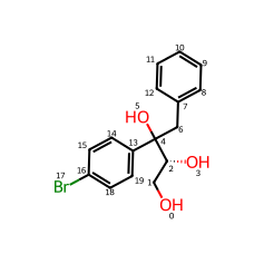 OC[C@@H](O)C(O)(Cc1ccccc1)c1ccc(Br)cc1